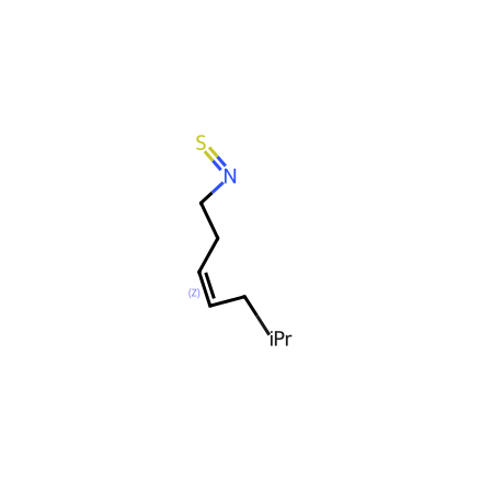 CC(C)C/C=C\CCN=S